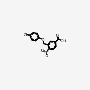 O=C(O)c1ccc([N+](=O)[O-])c(COc2ccc(Cl)cc2)c1